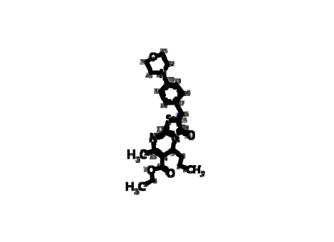 CCCC1C(C(=O)OCC)=C(C)N=c2s/c(=C\c3ccc(N4CCOCC4)cc3)c(=O)n21